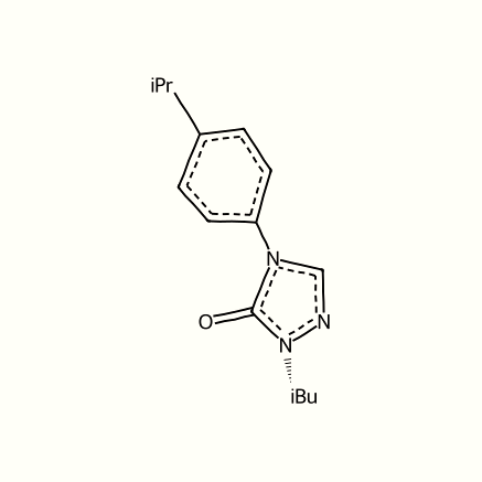 CC[C@@H](C)n1ncn(-c2ccc(C(C)C)cc2)c1=O